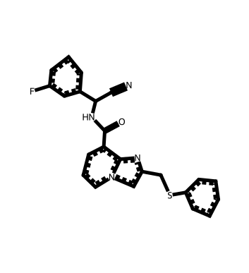 N#CC(NC(=O)c1cccn2cc(CSc3ccccc3)nc12)c1cccc(F)c1